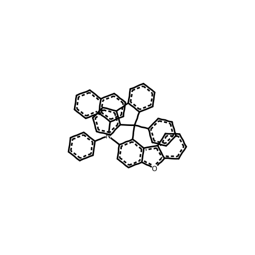 c1ccc(N(c2ccc3oc4ccccc4c3c2C2(c3ccccc3)c3ccccc3-c3ccccc32)c2cccc3ccccc23)cc1